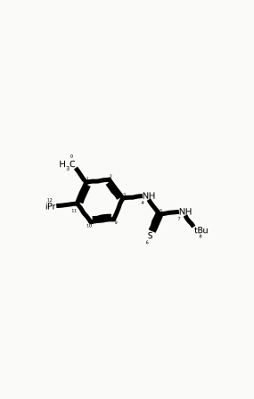 Cc1cc(NC(=S)NC(C)(C)C)ccc1C(C)C